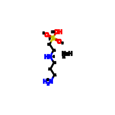 NCCCNCCS(=O)(=O)O.[NaH]